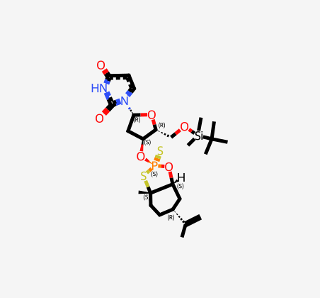 C=C(C)[C@@H]1CC[C@]2(C)S[P@@](=S)(O[C@H]3C[C@H](n4ccc(=O)[nH]c4=O)O[C@@H]3CO[Si](C)(C)C(C)(C)C)O[C@H]2C1